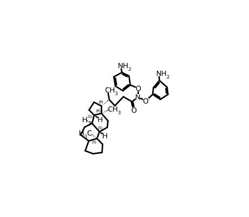 CC(CCC(=O)N(Oc1cccc(N)c1)Oc1cccc(N)c1)[C@H]1CC[C@H]2[C@@H]3CCC4CCCC[C@]4(C)[C@H]3CC[C@]12C